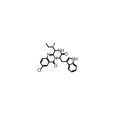 CC[C@@H](C)C1NC(=O)C(Cc2c[nH]c3ccccc23)n2c1nc1ccc(Cl)cc1c2=O